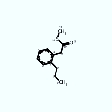 CCCc1ccccc1CC(=O)SC